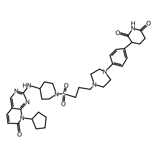 O=C1CCC(c2ccc(N3CCN(CCCS(=O)(=O)N4CCC(Nc5ncc6ccc(=O)n(C7CCCC7)c6n5)CC4)CC3)cc2)C(=O)N1